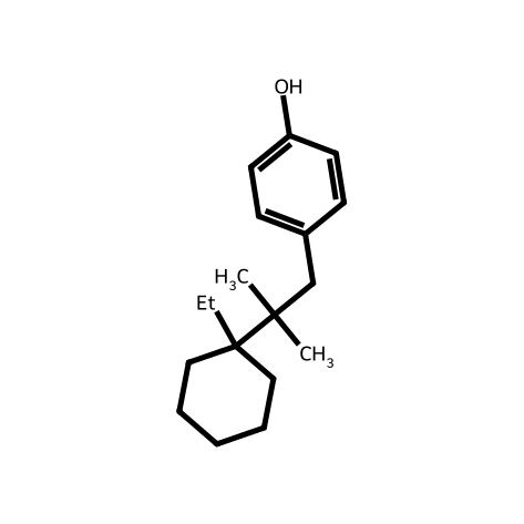 CCC1(C(C)(C)Cc2ccc(O)cc2)CCCCC1